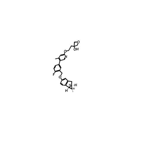 Cc1cc(OCCC2(O)COC2)ncc1-c1ccc(F)c(COc2ccc3c(c2)C[C@H]2[C@H](C)[C@@H]32)c1